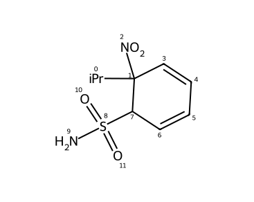 CC(C)C1([N+](=O)[O-])C=CC=CC1S(N)(=O)=O